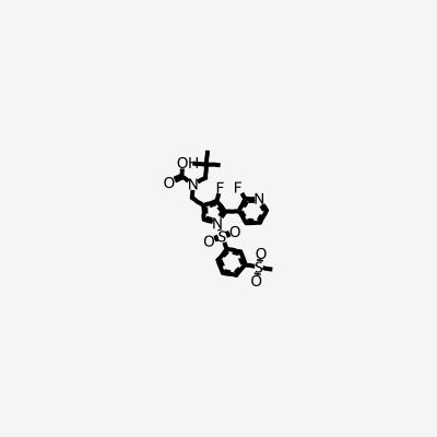 CC(C)(C)CN(Cc1cn(S(=O)(=O)c2cccc(S(C)(=O)=O)c2)c(-c2cccnc2F)c1F)C(=O)O